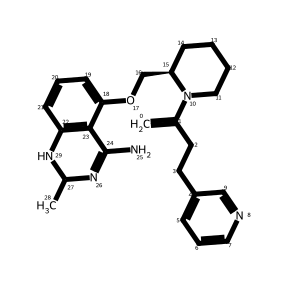 C=C(CCc1cccnc1)N1CCCC[C@@H]1COc1cccc2c1C(N)=NC(C)N2